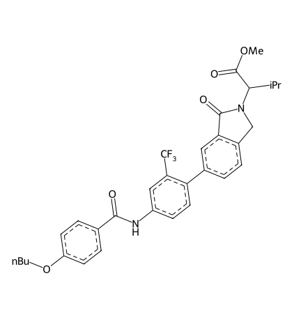 CCCCOc1ccc(C(=O)Nc2ccc(-c3ccc4c(c3)C(=O)N(C(C(=O)OC)C(C)C)C4)c(C(F)(F)F)c2)cc1